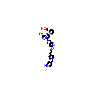 CCc1cnn2c(NCc3ccc(OCCCC4CCN(CC5CCNCC5)CC4)nc3)cc(N3CCCC[C@H]3CCO)nc12